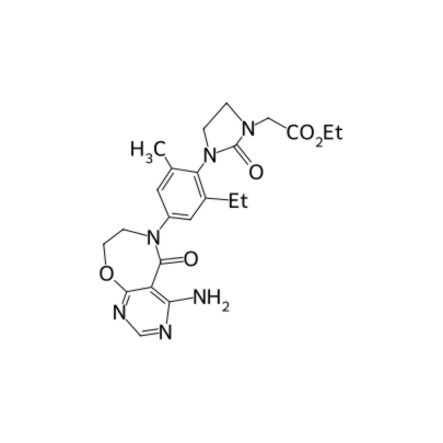 CCOC(=O)CN1CCN(c2c(C)cc(N3CCOc4ncnc(N)c4C3=O)cc2CC)C1=O